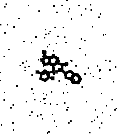 CCn1ncc2c(N[C@@H]3C[C@H]4CC[C@@H]3C4)c(C(=O)NC3Cc4ccccc4C3)cnc21